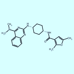 Cc1cc(C(=O)N[C@H]2CC[C@@H](Nc3nc(N(C)C)c4ccccc4n3)CC2)c(C)o1